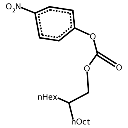 CCCCCCCCC(CCCCCC)COC(=O)Oc1ccc([N+](=O)[O-])cc1